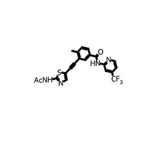 CC(=O)Nc1ncc(C#Cc2cc(C(=O)Nc3cc(C(F)(F)F)ccn3)ccc2C)s1